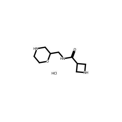 Cl.O=C(NCC1CNCCO1)C1CNC1